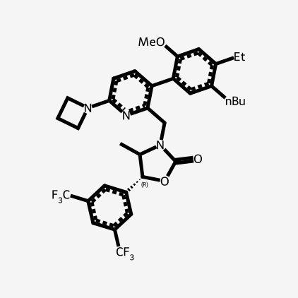 CCCCc1cc(-c2ccc(N3CCC3)nc2CN2C(=O)O[C@H](c3cc(C(F)(F)F)cc(C(F)(F)F)c3)C2C)c(OC)cc1CC